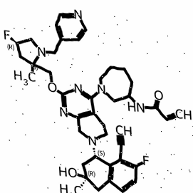 C#Cc1c(F)ccc2c1[C@@H](N1CCc3c(nc(OC[C@]4(C)C[C@@H](F)CN4Cc4ccncc4)nc3N3CCCCC(NC(=O)C=C)C3)C1)C[C@](C)(O)C2